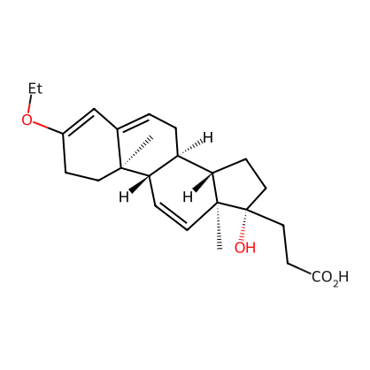 CCOC1=CC2=CC[C@@H]3[C@H](C=C[C@@]4(C)[C@H]3CC[C@@]4(O)CCC(=O)O)[C@@]2(C)CC1